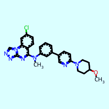 COC1CCN(c2ccc(-c3cccc(N(C)c4nc5nncn5c5cc(Cl)ccc45)c3)cn2)CC1